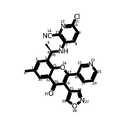 Cc1cc([C@@H](C)Nc2ccc(Cl)nc2C#N)c2oc(-c3cccnc3)c(-c3cnoc3)c(=O)c2c1